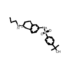 CCCN[C@H]1CCc2cc(NS(=O)(=O)c3ccc(C(C)(C)O)cc3)ccc2C1